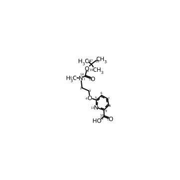 CN(CCOc1cccc(C(=O)O)n1)C(=O)OC(C)(C)C